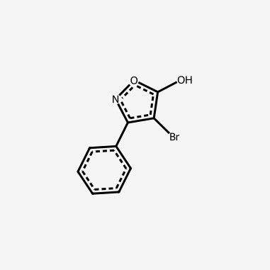 Oc1onc(-c2ccccc2)c1Br